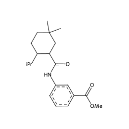 COC(=O)c1cccc(NC(=O)C2CC(C)(C)CCC2C(C)C)c1